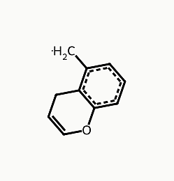 [CH2]c1cccc2c1CC=CO2